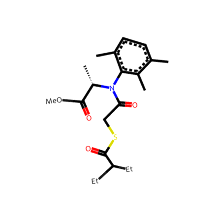 CCC(CC)C(=O)SCC(=O)N(c1c(C)ccc(C)c1C)[C@@H](C)C(=O)OC